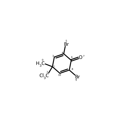 CC1(C(Cl)(Cl)Cl)C=C(Br)C(=O)C(Br)=C1